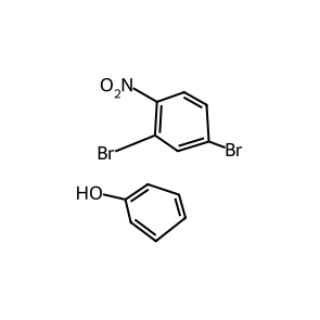 O=[N+]([O-])c1ccc(Br)cc1Br.Oc1ccccc1